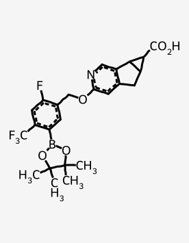 CC1(C)OB(c2cc(COc3cc4c(cn3)C3C(C4)C3C(=O)O)c(F)cc2C(F)(F)F)OC1(C)C